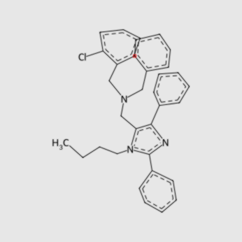 CCCCn1c(-c2ccccc2)nc(-c2ccccc2)c1CN(Cc1ccccc1)Cc1ccccc1Cl